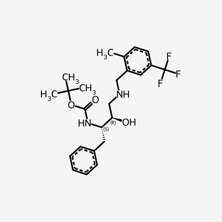 Cc1ccc(C(F)(F)F)cc1CNC[C@@H](O)[C@H](Cc1ccccc1)NC(=O)OC(C)(C)C